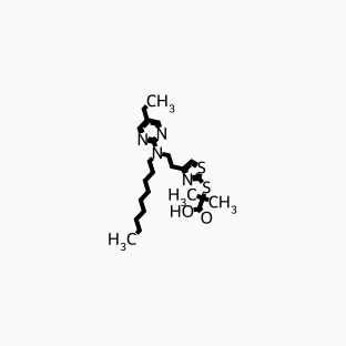 CCCCCCCCCN(CCc1csc(SC(C)(C)C(=O)O)n1)c1ncc(CC)cn1